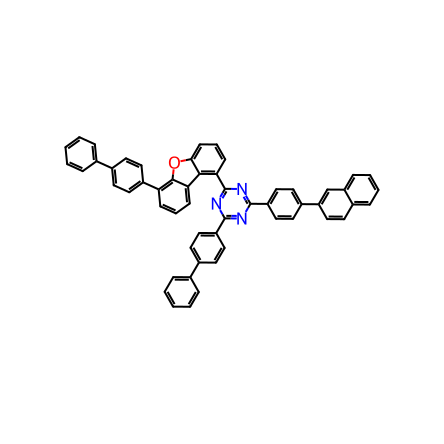 c1ccc(-c2ccc(-c3nc(-c4ccc(-c5ccc6ccccc6c5)cc4)nc(-c4cccc5oc6c(-c7ccc(-c8ccccc8)cc7)cccc6c45)n3)cc2)cc1